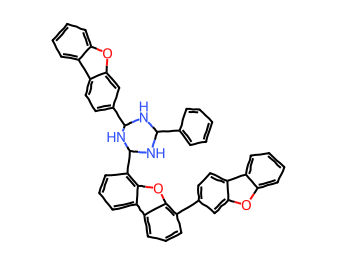 c1ccc(C2NC(c3ccc4c(c3)oc3ccccc34)NC(c3cccc4c3oc3c(-c5ccc6c(c5)oc5ccccc56)cccc34)N2)cc1